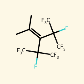 CC(C)=C(C(F)(C(F)(F)F)C(F)(F)F)C(F)(C(F)(F)F)C(F)(F)F